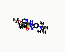 [2H]c1c([2H])c([2H])n(-c2ccc3[nH]c([S+]([O-])C([2H])([2H])c4nccc(OC)c4C([2H])([2H])[2H])nc3c2)c1[2H]